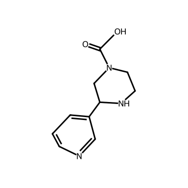 O=C(O)N1CCNC(c2cccnc2)C1